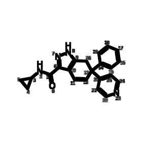 O=C(NC1CC1)c1n[nH]c2c1C=CC(c1ccccc1)(c1ccncc1)C2